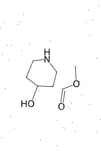 COC=O.OC1CCNCC1